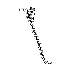 COCCOCCOCCOCCOCCOCCOCCOCCNC(=O)C(CCC(=O)O)NC(=O)OC(C)(C)C